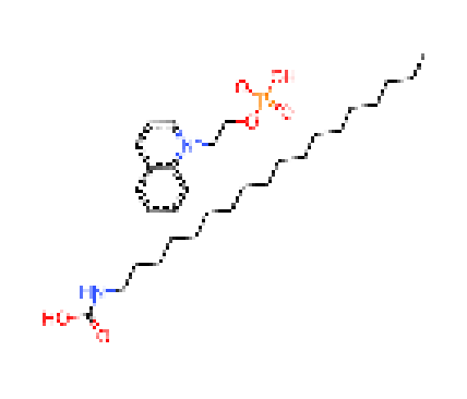 CCCCCCCCCCCCCCCCCCNC(=O)O.O=P([O-])(O)OCC[n+]1cccc2ccccc21